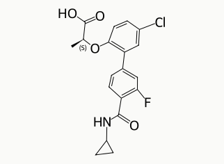 C[C@H](Oc1ccc(Cl)cc1-c1ccc(C(=O)NC2CC2)c(F)c1)C(=O)O